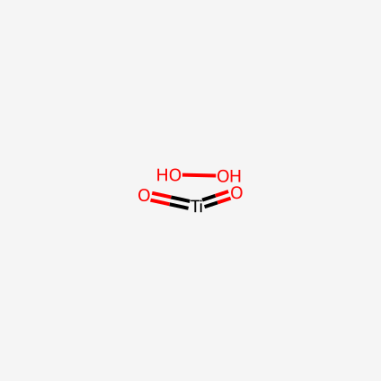 OO.[O]=[Ti]=[O]